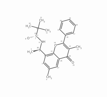 Cc1cc([C@@H](C)N[S@+]([O-])C(C)(C)C)c2oc(-c3ccccc3)c(C)c(=O)c2c1